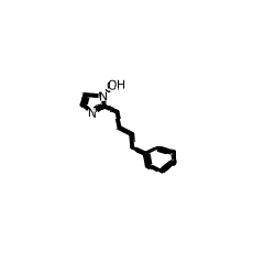 On1ccnc1CCCCc1ccccc1